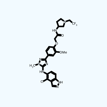 COc1cc(-c2nc(Nc3ccc4[nH]ncc4c3Cl)n(C)n2)ccc1OCC(=O)NC1CCN(CC(F)(F)F)C1